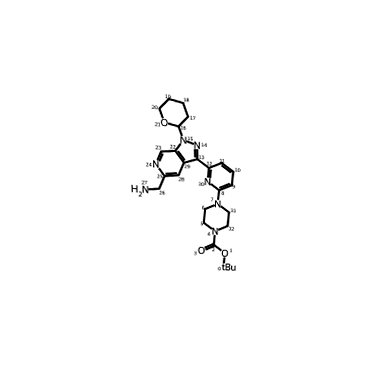 CC(C)(C)OC(=O)N1CCN(c2cccc(-c3nn(C4CCCCO4)c4cnc(CN)cc34)n2)CC1